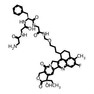 CC[C@@]1(O)C(=O)OCc2c1cc1n(c2=O)Cc2c-1nc1cc(F)c(C)c3c1c2C(CCCOCNC(=O)CNC(=O)[C@H](Cc1ccccc1)NC(=O)CNC(=O)CN)CC3